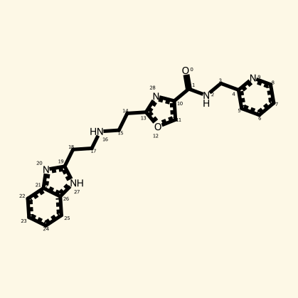 O=C(NCc1ccccn1)c1coc(CCNCCc2nc3ccccc3[nH]2)n1